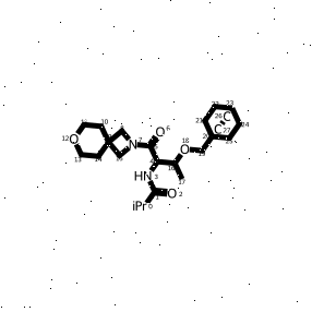 CC(C)C(=O)NC(C(=O)N1CC2(CCOCC2)C1)C(C)OCC12CCC(CC1)CC2